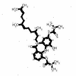 CC(C)=CCCC(C)=CCCC(C)=CCN1C(=O)c2cccc(OC(=O)N(C)C)c2Nc2c(O)cc(OC(=O)N(C)C)cc21